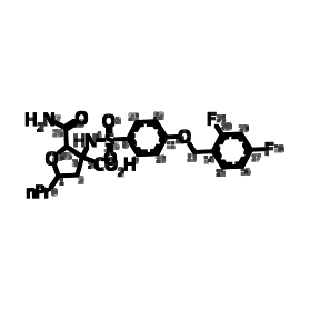 CCCC1CC(NS(=O)(=O)c2ccc(OCc3ccc(F)cc3F)cc2)(C(=O)O)C(C(N)=O)O1